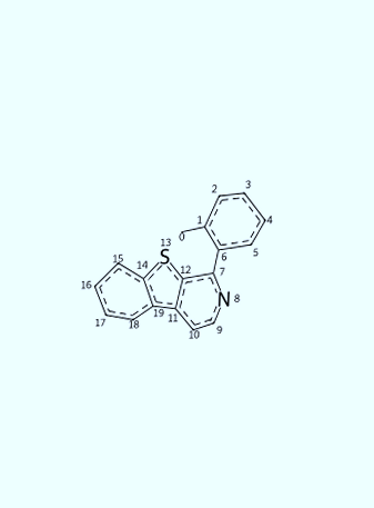 Cc1ccccc1-c1nccc2c1sc1ccccc12